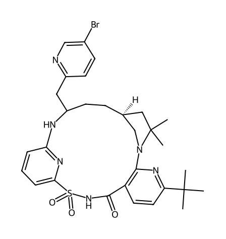 CC(C)(C)c1ccc2c(n1)N1C[C@@H](CCC(Cc3ccc(Br)cn3)Nc3cccc(n3)S(=O)(=O)NC2=O)CC1(C)C